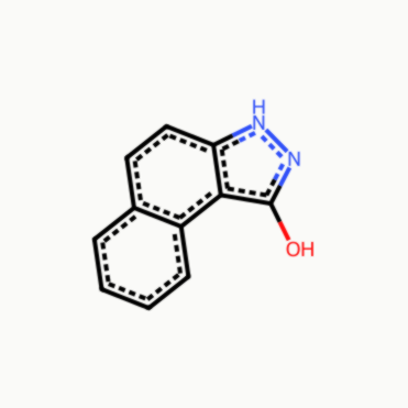 Oc1n[nH]c2ccc3ccccc3c12